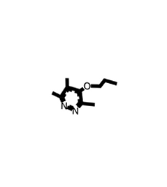 CCCOc1c(C)nnc(C)c1C